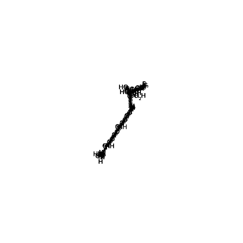 O=C(CCCC[C@H]1SC[C@H]2NC(=O)N[C@H]21)NCCOCCOCCOCCOCCC(=O)NCCOCCOCCOCCOCCn1cc(CCCCCCO[C@]2(C(=O)O)C[C@H](O)[C@@H](NC(=O)CO)[C@H]([C@H](O)[C@H](O)CNC(=O)Cc3ccc(C(F)F)cc3)O2)nn1